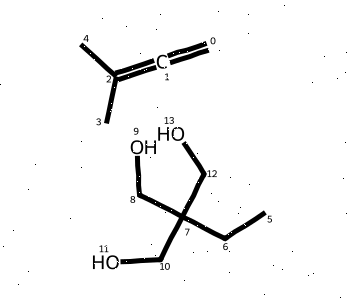 C=C=C(C)C.CCC(CO)(CO)CO